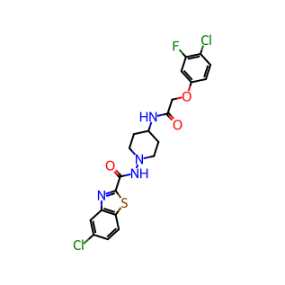 O=C(COc1ccc(Cl)c(F)c1)NC1CCN(NC(=O)c2nc3cc(Cl)ccc3s2)CC1